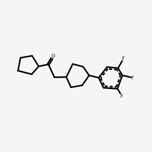 O=C(CC1CCC(c2cc(F)c(F)c(F)c2)CC1)C1CCCC1